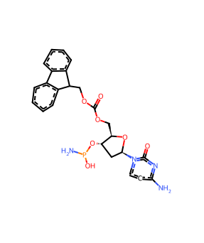 Nc1ccn([C@H]2C[C@H](OP(N)O)[C@@H](COC(=O)OCC3c4ccccc4-c4ccccc43)O2)c(=O)n1